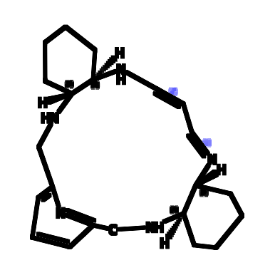 C1=C\N[C@@H]2CCCC[C@H]2NCc2cccc(n2)CN[C@@H]2CCCC[C@H]2/N=C/1